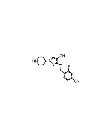 N#Cc1ccc(COc2nn(C3CCNCC3)cc2C#N)c(F)c1